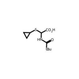 CC(C)(C)C(=O)NC(SC1CC1)C(=O)O